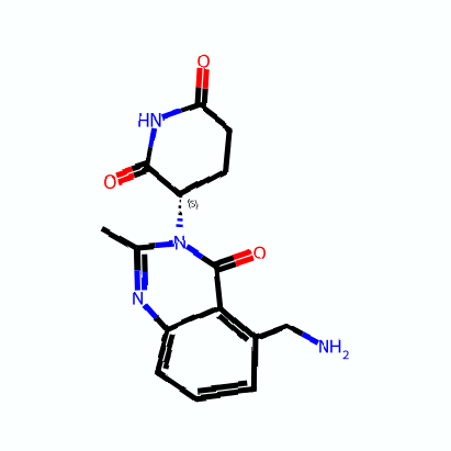 Cc1nc2cccc(CN)c2c(=O)n1[C@H]1CCC(=O)NC1=O